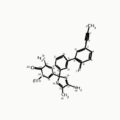 CC#Cc1ccc(F)c(-c2cccc(C3(c4cc(C)c(=O)n(CC)c4)N=C(C)C(N)=N3)c2)c1